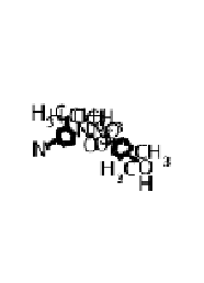 CC(C)c1cc(C#N)ccc1N(C(=O)NS(=O)(=O)c1ccc(C(C)(C)O)cc1)C(C)C